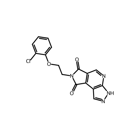 O=C1c2cnc3[nH]ncc3c2C(=O)N1CCOc1ccccc1Cl